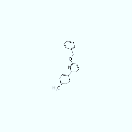 CN1CC=C(c2cccc(OCc3ccccc3)n2)CC1